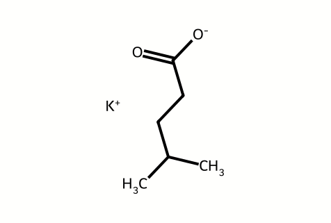 CC(C)CCC(=O)[O-].[K+]